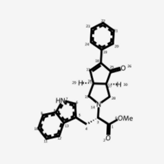 COC(=O)[C@H](Cc1c[nH]c2ccccc12)N1C[C@H]2C=C(c3ccccc3)C(=O)[C@H]2C1